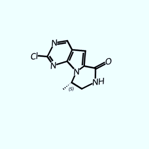 C[C@H]1CNC(=O)c2cc3cnc(Cl)nc3n21